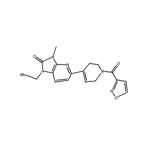 Cn1c(=O)n(CC(C)(C)C)c2ccc(C3=CCN(C(=O)c4ccon4)CC3)nc21